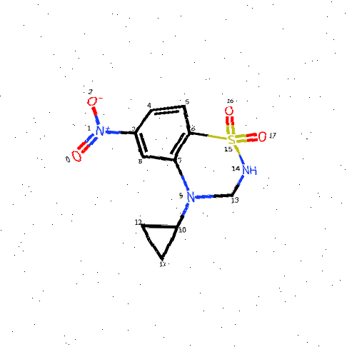 O=[N+]([O-])c1ccc2c(c1)N(C1CC1)CNS2(=O)=O